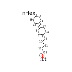 CCCCCCC1CCC(C2CCC(CCCCCOCC)CC2)CC1